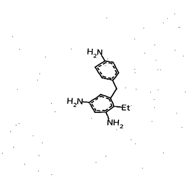 CCc1c(N)cc(N)cc1Cc1ccc(N)cc1